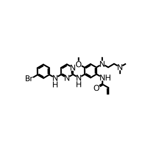 C=CC(=O)Nc1cc(Nc2nccc(Nc3cccc(Br)c3)n2)c(OC)cc1N(C)CCN(C)C